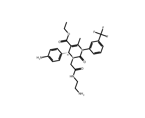 CCOC(=O)C1=C(C)N(c2cccc(C(F)(F)F)c2)C(=O)N(CC(=O)NCCN)[C@@H]1c1ccc(N)cc1